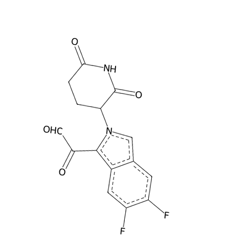 O=CC(=O)c1c2cc(F)c(F)cc2cn1C1CCC(=O)NC1=O